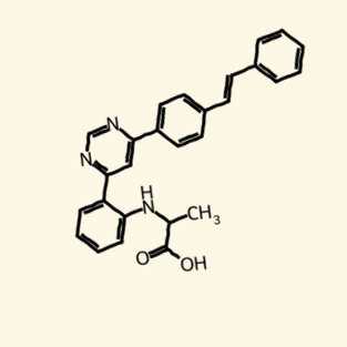 CC(Nc1ccccc1-c1cc(-c2ccc(/C=C/c3ccccc3)cc2)ncn1)C(=O)O